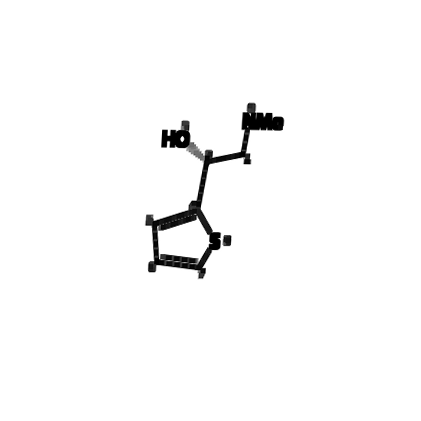 CNC[C@@H](O)c1cccs1